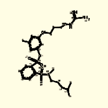 Cc1cc(OCCCONC(=N)N)cc(OS(=O)(=O)c2ccccc2S(=O)(=O)N(C)CCCN(C)C)c1